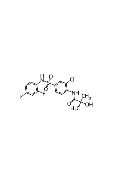 CC(C)(O)C(=O)Nc1ccc(S(=O)(=O)Nc2ccc(I)cc2F)cc1Cl